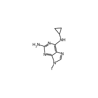 Nc1nc(NC2CC2)c2ncn(I)c2n1